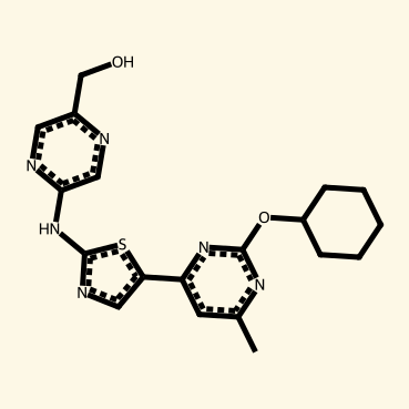 Cc1cc(-c2cnc(Nc3cnc(CO)cn3)s2)nc(OC2CCCCC2)n1